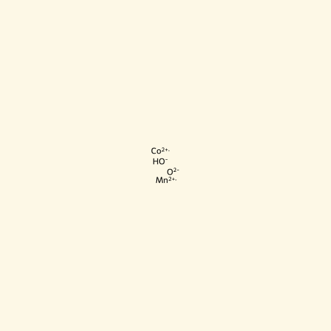 [Co+2].[Mn+2].[O-2].[OH-]